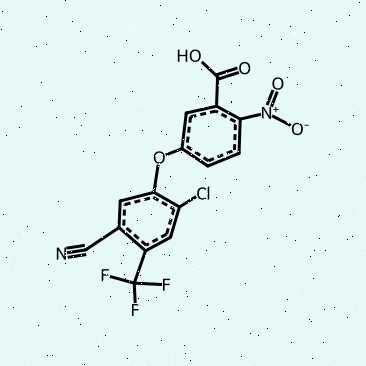 N#Cc1cc(Oc2ccc([N+](=O)[O-])c(C(=O)O)c2)c(Cl)cc1C(F)(F)F